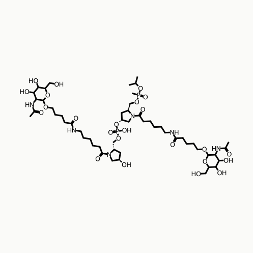 CC(=O)NC1C(OCCCCC(=O)NCCCCCC(=O)N2C[C@H](O)C[C@H]2COP(=O)(O)O[C@@H]2C[C@@H](COP(C)(=O)OC(C)C)N(C(=O)CCCCCNC(=O)CCCCOC3OC(CO)C(O)C(O)C3NC(C)=O)C2)OC(CO)C(O)C1O